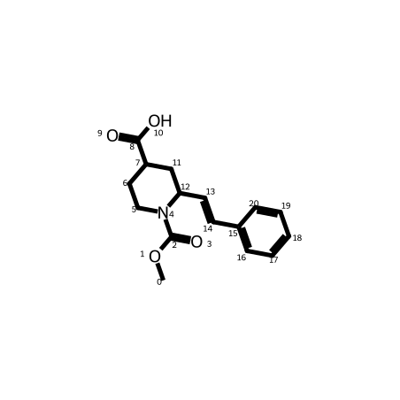 COC(=O)N1CCC(C(=O)O)CC1C=Cc1ccccc1